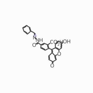 O=C(N/N=C/c1ccccc1)c1ccc(-c2c3ccc(=O)cc-3oc3cc(O)ccc23)c(C(=O)O)c1